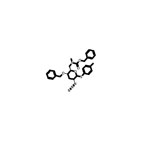 Cc1ccc(SC2O[C@H](CN(C)C(=O)OCc3ccccc3)[C@@H](OCc3ccccc3)C[C@H]2N=[N+]=[N-])cc1